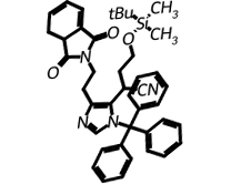 CC(C)(C)[Si](C)(C)OCCC(C#N)c1c(CCN2C(=O)C3=CC=CCC3C2=O)ncn1C(c1ccccc1)(c1ccccc1)c1ccccc1